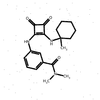 CN(C)C(=O)c1cccc(Nc2c(NC3(C)CCCCC3)c(=O)c2=O)c1